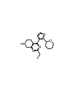 CN1CCc2c(nc(CF)nc2-c2ccnn2C2CCCCO2)C1